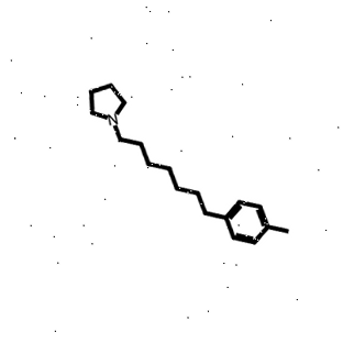 Cc1ccc(CCCCCCCN2CCCC2)cc1